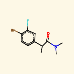 CC(C(=O)N(C)C)c1ccc(Br)c(F)c1